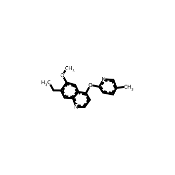 CCc1cc2nccc(Oc3ccc(C)cn3)c2cc1OC